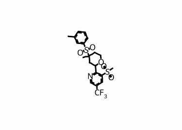 Cc1cccc(S(=O)(=O)C2(C)CCOC(c3ncc(C(F)(F)F)cc3S(C)(=O)=O)C2)c1